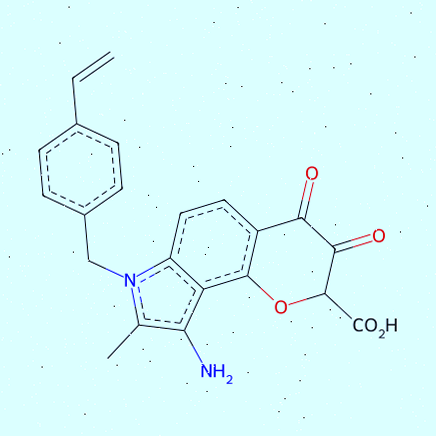 C=Cc1ccc(Cn2c(C)c(N)c3c4c(ccc32)C(=O)C(=O)C(C(=O)O)O4)cc1